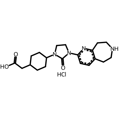 Cl.O=C(O)CC1CCC(N2CCN(c3ccc4c(n3)CCNCC4)C2=O)CC1